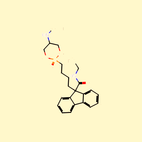 O=C(O)NC1COP(=O)(CCCCC2(C(=O)NCC(F)(F)F)c3ccccc3-c3ccccc32)OC1